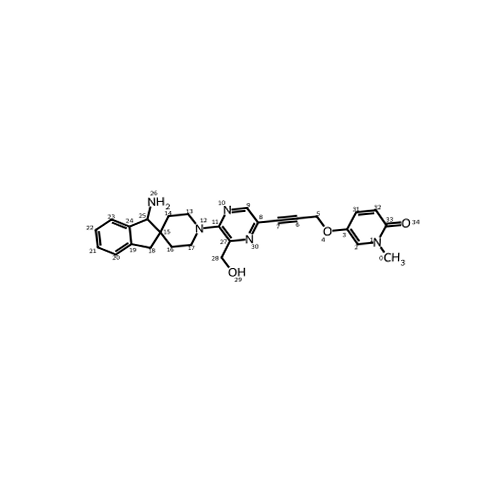 Cn1cc(OCC#Cc2cnc(N3CCC4(CC3)Cc3ccccc3C4N)c(CO)n2)ccc1=O